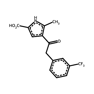 Cc1[nH]c(C(=O)O)cc1C(=O)Cc1cccc(C(F)(F)F)c1